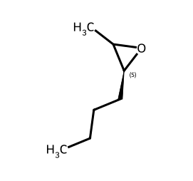 CCCC[C@@H]1OC1C